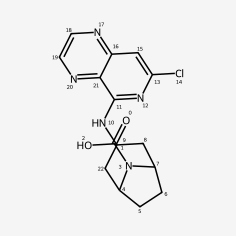 O=C(O)N1C2CCC1CC(Nc1nc(Cl)cc3nccnc13)C2